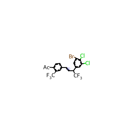 CC(=O)c1ccc(/C=C/C(c2cc(Cl)c(Cl)c(Br)c2)C(F)(F)F)cc1C(F)(F)F